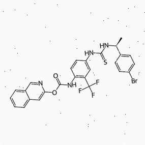 C[C@H](NC(=S)Nc1ccc(NC(=O)Oc2cc3ccccc3cn2)c(C(F)(F)F)c1)c1ccc(Br)cc1